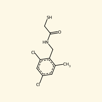 Cc1cc(Cl)cc(Cl)c1CNC(=O)CS